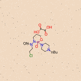 CCCCN1CCN(P2(=O)OCCCN2N(CCCl)N=O)CC1.O=C(O)C(=O)O